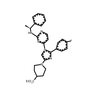 CCOC(=O)C1CCN(c2cn(-c3ccnc(N[C@@H](C)c4ccccc4)n3)c(-c3ccc(F)cc3)n2)CC1